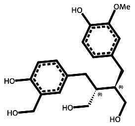 COc1cc(C[C@@H](CO)[C@H](CO)Cc2ccc(O)c(CO)c2)ccc1O